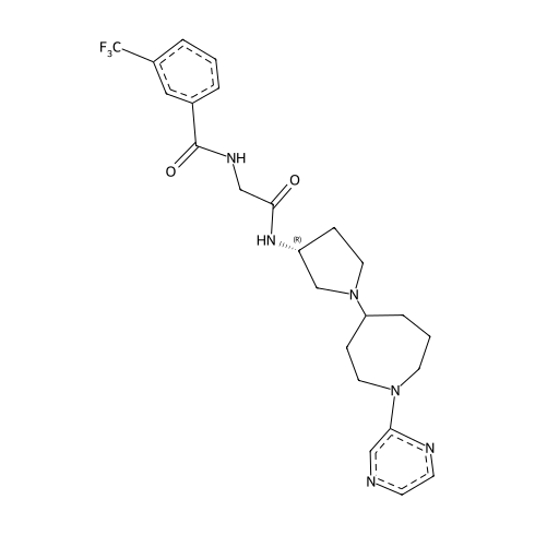 O=C(CNC(=O)c1cccc(C(F)(F)F)c1)N[C@@H]1CCN(C2CCCN(c3cnccn3)CC2)C1